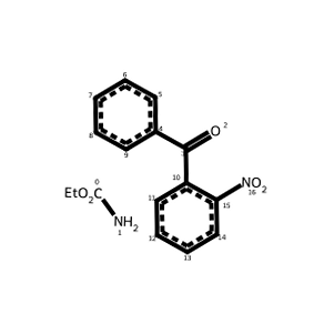 CCOC(N)=O.O=C(c1ccccc1)c1ccccc1[N+](=O)[O-]